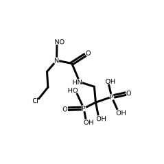 O=NN(CCCl)C(=O)NCC(O)(P(=O)(O)O)P(=O)(O)O